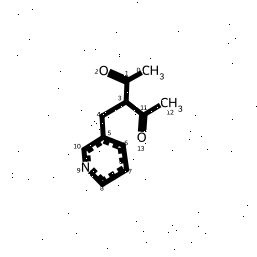 CC(=O)C(Cc1cccnc1)C(C)=O